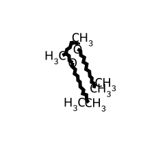 CC(=CCCC(C)CCOCCCCCCCCCCC(C)C)COCCCCCCCCCCC(C)C